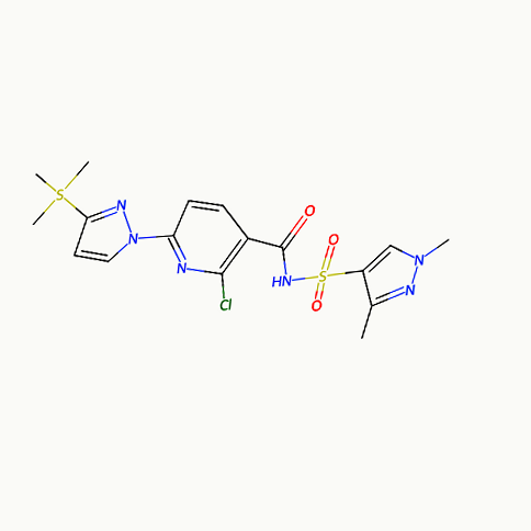 Cc1nn(C)cc1S(=O)(=O)NC(=O)c1ccc(-n2ccc(S(C)(C)C)n2)nc1Cl